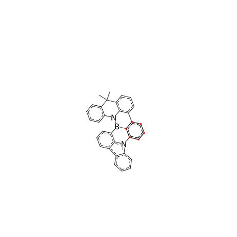 CC1(C)c2ccccc2N(B2c3ccccc3-n3c4ccccc4c4cccc2c43)c2c(-c3ccccc3)cccc21